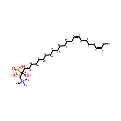 CC/C=C\CCCC/C=C\CCCCCCCCCCCCCCC(O)(C[N+](C)(C)C)P(=O)(O)O